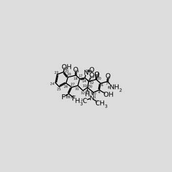 CN(C)[C@@H]1C(O)=C(C(N)=O)C(=O)[C@@]2(O)C(N=O)=C3C(=O)c4c(O)cccc4C(=C(F)F)C3C[C@@H]12